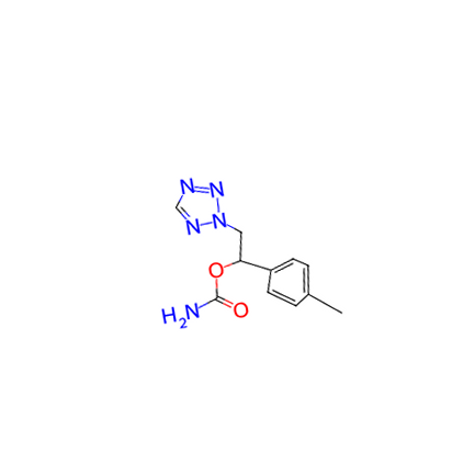 Cc1ccc(C(Cn2ncnn2)OC(N)=O)cc1